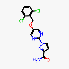 NC(=O)c1ccn(-c2ncc(OCc3c(Cl)cccc3Cl)cn2)n1